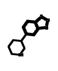 c1cc2nnoc2cc1C1CCCNC1